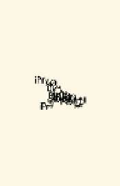 CC(C)CCC(=O)Oc1ccc(C[C@](NC(C)C)(OC(=O)OC2CCCCC2)C(=O)O)cc1OC(=O)CCC(C)C